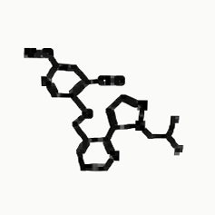 COc1cc(C=O)c(OCc2cccnc2-c2ccnn2CC(F)F)cn1